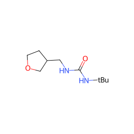 CC(C)(C)NC(=O)NCC1CCOC1